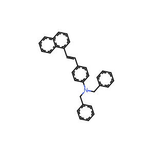 C(=Cc1cccc2ccccc12)c1ccc(N(Cc2ccccc2)Cc2ccccc2)cc1